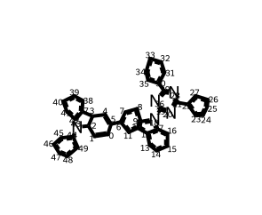 C1=CC2C(C=C1c1ccc3c(c1)c1ccccc1n3-c1nc(-c3ccccc3)nc(-c3ccccc3)n1)c1ccccc1N2c1ccccc1